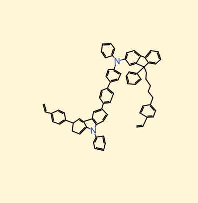 C=Cc1ccc(CCCCCC2(c3ccccc3)c3ccccc3-c3ccc(N(c4ccccc4)c4ccc(-c5ccc(-c6ccc7c(c6)c6c(n7-c7ccccc7)=CCC(c7ccc(C=C)cc7)C=6)cc5)cc4)cc32)cc1